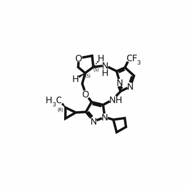 C[C@@H]1CC1c1nn(C2CCC2)c2c1OC[C@@H]1COC[C@H]1Nc1nc(ncc1C(F)(F)F)N2